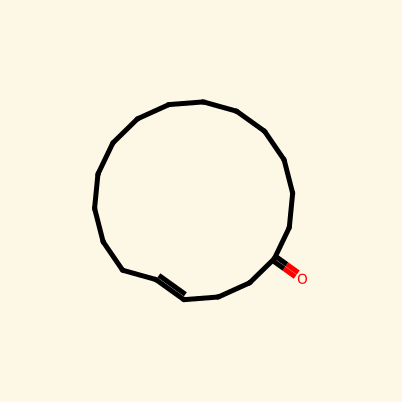 O=C1CC/C=C/CCCCCCCCCCCCC1